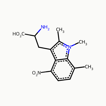 Cc1ccc([N+](=O)[O-])c2c(CC(N)C(=O)O)c(C)n(C)c12